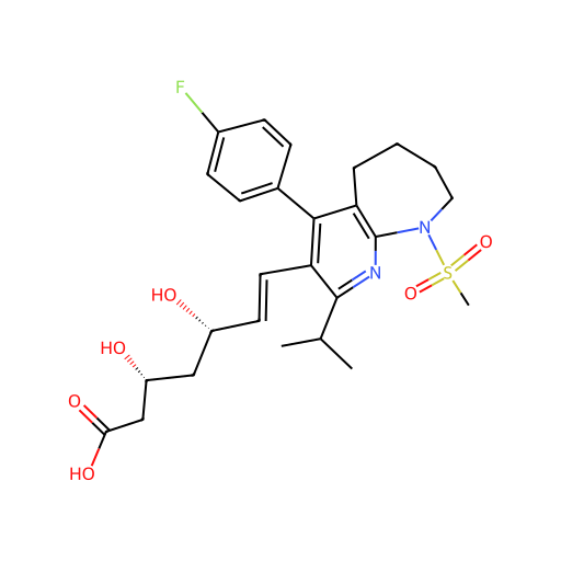 CC(C)c1nc2c(c(-c3ccc(F)cc3)c1C=C[C@@H](O)C[C@@H](O)CC(=O)O)CCCCN2S(C)(=O)=O